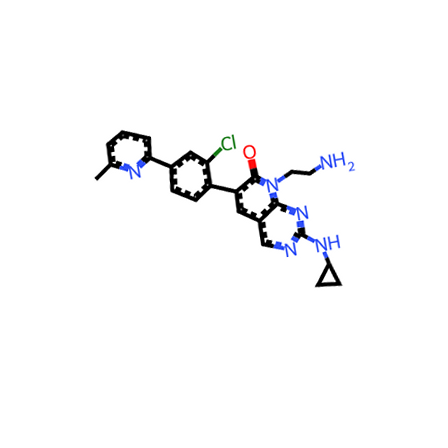 Cc1cccc(-c2ccc(-c3cc4cnc(NC5CC5)nc4n(CCN)c3=O)c(Cl)c2)n1